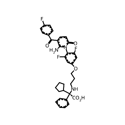 Nc1c(C(=O)c2ccc(F)cc2)ccc(=O)n1-c1c(F)cc(OCCCN[C@](C(=O)O)(c2ccccc2)C2CCCC2)cc1F